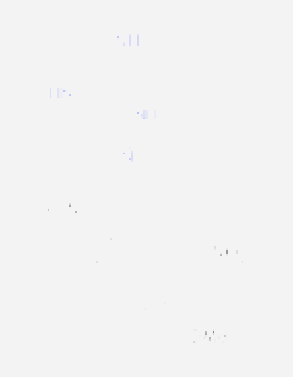 COc1ccc([N+](=O)[O-])c(/C=N/NC(=N)N)c1[N+](=O)[O-]